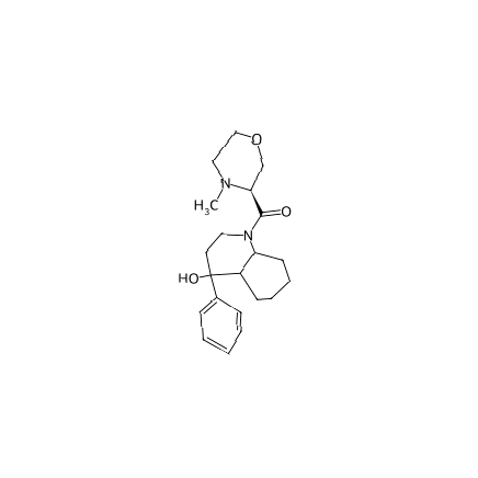 CN1CCOC[C@H]1C(=O)N1CCC(O)(c2ccccc2)C2CCCCC21